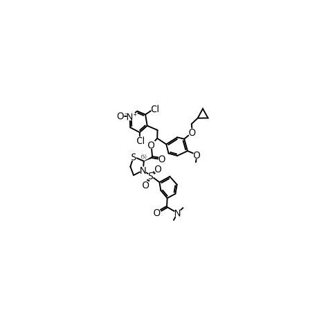 COc1ccc(C(Cc2c(Cl)c[n+]([O-])cc2Cl)OC(=O)[C@@H]2SCCN2S(=O)(=O)c2cccc(C(=O)N(C)C)c2)cc1OCC1CC1